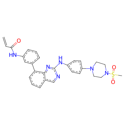 C=CC(=O)Nc1cccc(-c2cccc3cnc(Nc4ccc(N5CCN(S(C)(=O)=O)CC5)cc4)nc23)c1